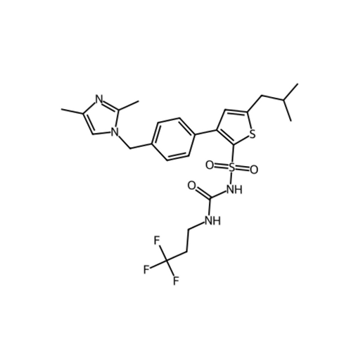 Cc1cn(Cc2ccc(-c3cc(CC(C)C)sc3S(=O)(=O)NC(=O)NCCC(F)(F)F)cc2)c(C)n1